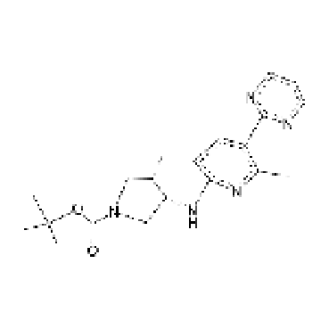 Cc1nc(N[C@@H]2CN(C(=O)OC(C)(C)C)C[C@@H]2C)ccc1-c1ncccn1